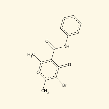 Cc1oc(C)c(C(=O)Nc2ccccc2)c(=O)c1Br